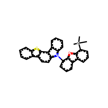 C[Si](C)(C)c1cccc2c1oc1c(-n3c4ccccc4c4c5sc6ccccc6c5ccc43)cccc12